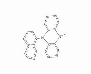 CN1c2ccccc2N(c2cccc3ccccc23)c2ccccc21